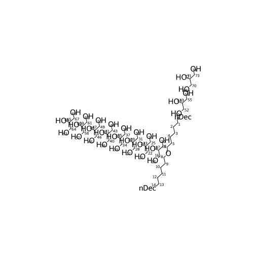 CCCCCCCCCCCCCCCCOCCCCCCCCCCCCCCCC.OCC(O)CO.OCC(O)CO.OCC(O)CO.OCC(O)CO.OCC(O)CO.OCC(O)CO.OCC(O)CO.OCC(O)CO.OCC(O)CO.OCC(O)CO